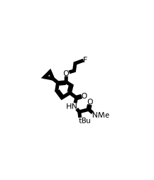 CNC(=O)C(NC(=O)c1ccc(C2CC2)c(OCCF)c1)C(C)(C)C